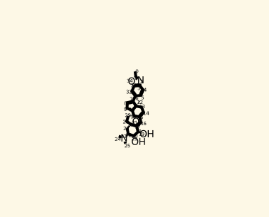 Cc1nc2ccc(C3=CCC4[C@]3(C)CC=C3C=C5[C@@H](O)[C@H](O)[C@@H](N(C)C)C[C@]56CC[C@@]34O6)cc2o1